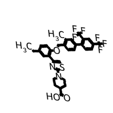 CCc1ccc(OCc2ccc(-c3ccc(C(F)(F)F)cc3C(F)(F)F)cc2C)c(-c2csc(N3CCC(C(=O)O)CC3)n2)c1